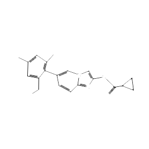 O=C(Nc1cn2cc(-c3c(Cl)cc(F)cc3CO)ccc2n1)C1CC1